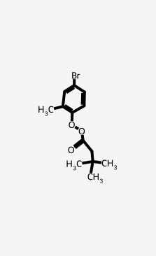 Cc1cc(Br)ccc1OOC(=O)CC(C)(C)C